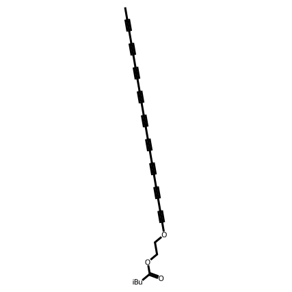 CC#CC#CC#CC#CC#CC#CC#CC#CC#COCCOC(=O)C(C)CC